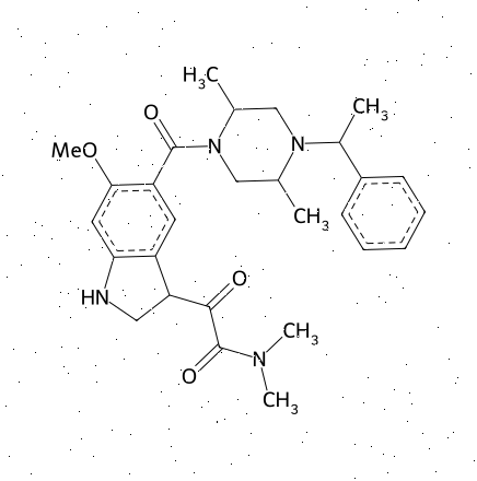 COc1cc2c(cc1C(=O)N1CC(C)N(C(C)c3ccccc3)CC1C)C(C(=O)C(=O)N(C)C)CN2